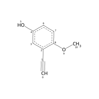 C#Cc1cc(O)ccc1OC